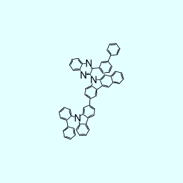 c1ccc(-c2cccc(-c3nc4ccccc4nc3-n3c4ccc(-c5ccc6c7ccccc7n(-c7ccccc7-c7ccccc7)c6c5)cc4c4cc5ccccc5cc43)c2)cc1